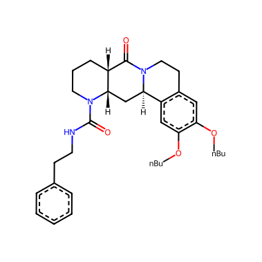 CCCCOc1cc2c(cc1OCCCC)[C@H]1C[C@H]3[C@H](CCCN3C(=O)NCCc3ccccc3)C(=O)N1CC2